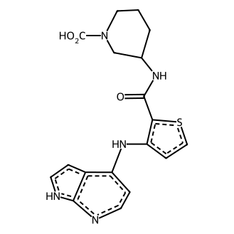 O=C(NC1CCCN(C(=O)O)C1)c1sccc1Nc1ccnc2[nH]ccc12